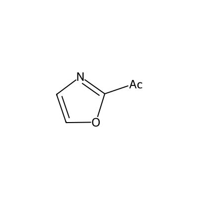 CC(=O)c1ncco1